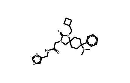 CN(C)C1(c2ccccc2)CCC2(CC1)CN(CC(=O)NCc1cocn1)C(=O)N2CC1CCC1